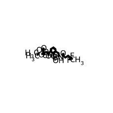 CC(F)(F)CCC(=O)N[C@H]1Cc2cccc(C(=O)OC3(C)OC(C)(C)OC3=O)c2OB1O